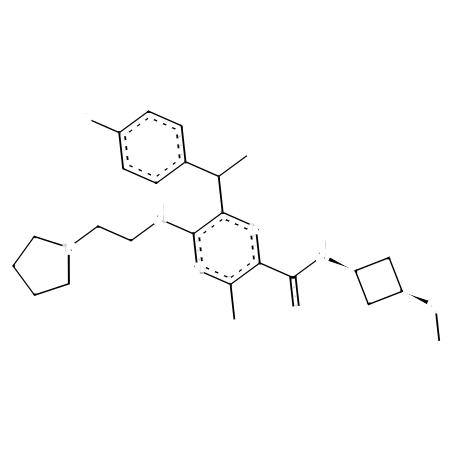 CO[C@H]1C[C@@H](NC(=O)c2nc(C(C)c3ccc(F)cc3)c(NCCN3CCCC3)nc2C)C1